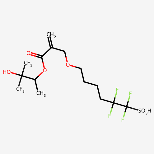 C=C(COCCCCC(F)(F)C(F)(F)S(=O)(=O)O)C(=O)OC(C)C(O)(C(F)(F)F)C(F)(F)F